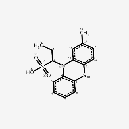 CCC(N1c2ccccc2Sc2ccc(C)cc21)S(=O)(=O)O